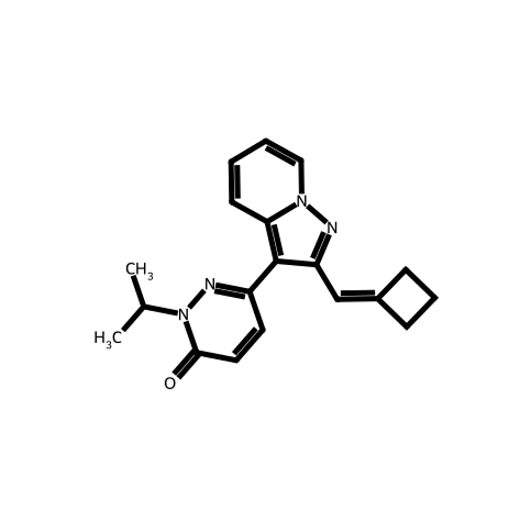 CC(C)n1nc(-c2c(C=C3CCC3)nn3ccccc23)ccc1=O